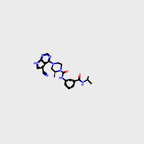 CC(C)NC(=O)c1cccc(NC(=O)N2CCN(c3ncnc4[nH]cc(C#N)c34)C[C@@H]2C)c1